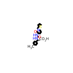 Cc1ccc([C@H](CC(=O)O)NC(=O)Nc2cccn(Cc3cccs3)c2=O)cc1